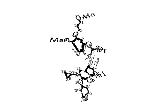 COCCCOc1cc(OC(C[C@@H]2CNC[C@H]2CN(C(=O)OC2CCOCC2)C2CC2)C(C)C)ccc1OC